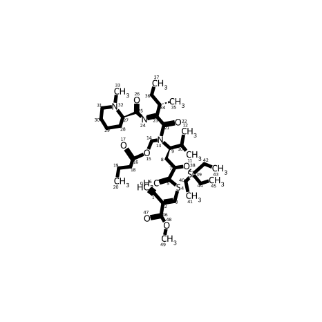 C#C/C(=C\SC(=C)C(C[C@H](C(C)C)N(COC(=O)CCC)C(=O)/C(=N/C(=O)[C@H]1CCCCN1C)[C@@H](C)CC)O[Si](CC)(CC)CC)C(=O)OC